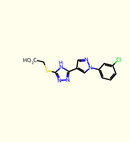 O=C(O)CSc1nnc(-c2cnn(-c3cccc(Cl)c3)c2)[nH]1